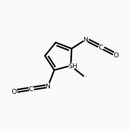 [CH2][SH]1C(N=C=O)=CC=C1N=C=O